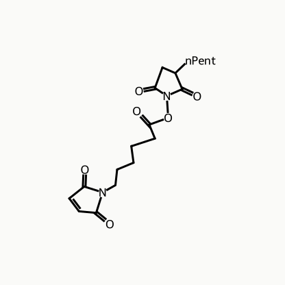 CCCCCC1CC(=O)N(OC(=O)CCCCCN2C(=O)C=CC2=O)C1=O